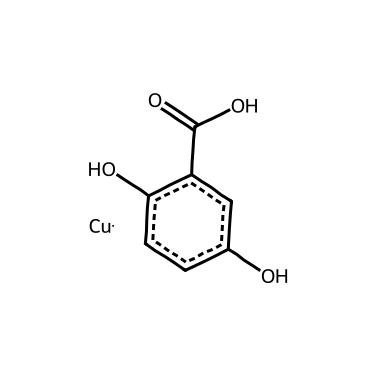 O=C(O)c1cc(O)ccc1O.[Cu]